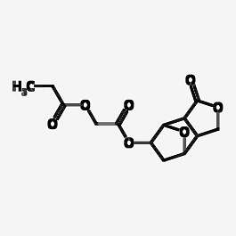 CCC(=O)OCC(=O)OC1CC2OC1C1C(=O)OCC21